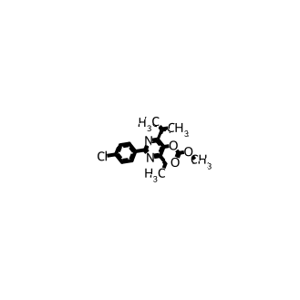 CCc1nc(-c2ccc(Cl)cc2)nc(C(C)C)c1OC(=O)OC